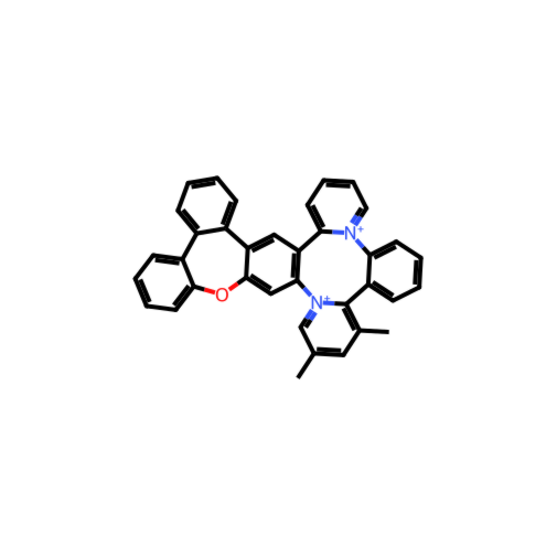 Cc1cc(C)c2c3ccccc3[n+]3ccccc3c3cc4c(cc3[n+]2c1)oc1ccccc1c1ccccc41